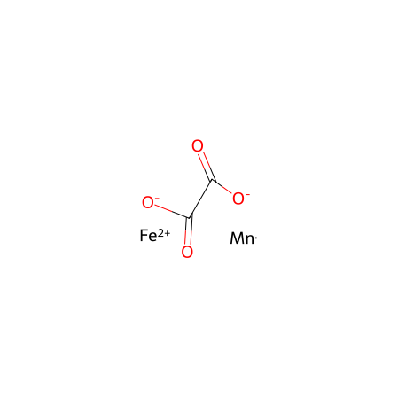 O=C([O-])C(=O)[O-].[Fe+2].[Mn]